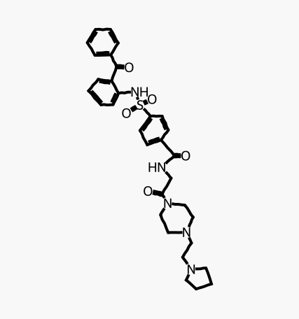 O=C(NCC(=O)N1CCN(CCN2CCCC2)CC1)c1ccc(S(=O)(=O)Nc2ccccc2C(=O)c2ccccc2)cc1